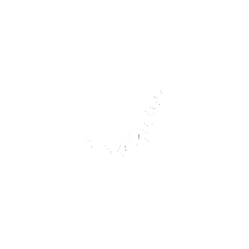 C=C(Cl)C(=O)Nc1c[nH]c(C(=O)Nc2c[nH]c(C(=O)Nc3c[nH]c(C(=O)NCCC(N)=O)c3C)c2C)c1C